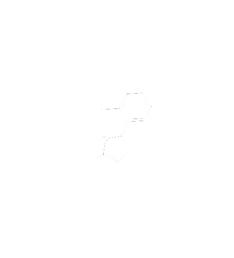 CC(C)C1=COC(c2ccccc2O)N1